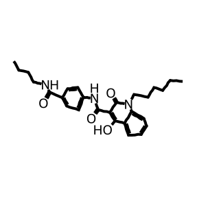 CCCCCCn1c(=O)c(C(=O)Nc2ccc(C(=O)NCCCC)cc2)c(O)c2ccccc21